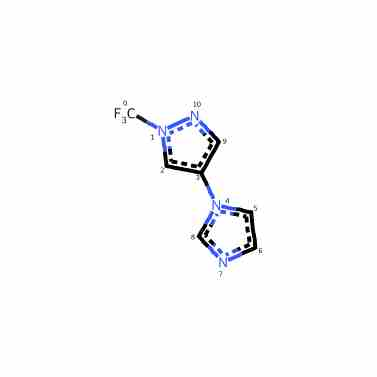 FC(F)(F)n1cc(-n2ccnc2)cn1